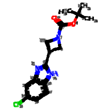 CC(C)(C)OC(=O)N1CC(c2nc3cc(Cl)ccc3[nH]2)C1